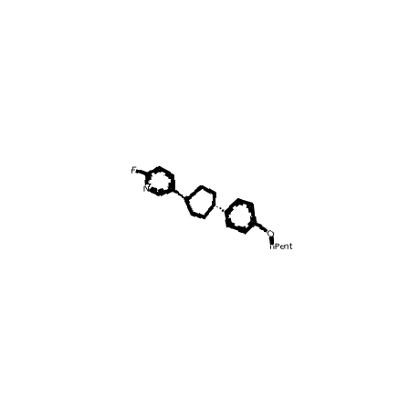 CCCCCOc1ccc([C@H]2CC[C@H](c3ccc(F)nc3)CC2)cc1